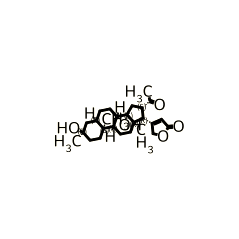 CC(=O)[C@H]1C[C@]2(O)[C@@H]3CC[C@@H]4C[C@](C)(O)CC[C@]4(C)[C@H]3CC[C@]2(C)[C@H]1C1=CC(=O)OC1